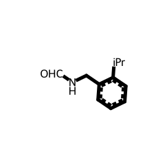 CC(C)c1ccccc1CNC=O